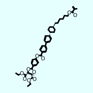 C=C(C)C(=O)OCCCCCC[C@H]1CC[C@H](c2ccc(-c3ccc(C(=O)Oc4ccc(C5O[C@@H](C(=O)OCC)[C@H](C(=O)OCC)O5)cc4)cc3)cc2)CC1